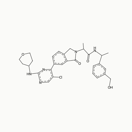 CC(NC(=O)C(C)N1Cc2ccc(-c3nc(NC4CCOCC4)ncc3Cl)cc2C1=O)c1cccc(CO)c1